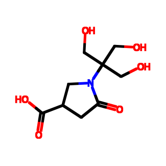 O=C(O)C1CC(=O)N(C(CO)(CO)CO)C1